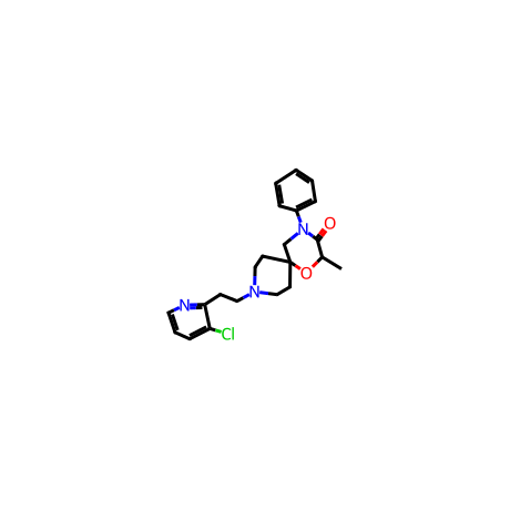 CC1OC2(CCN(CCc3ncccc3Cl)CC2)CN(c2ccccc2)C1=O